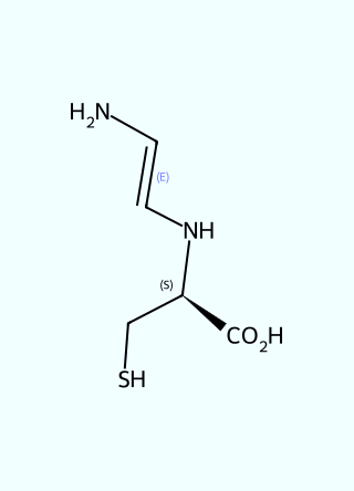 N/C=C/N[C@H](CS)C(=O)O